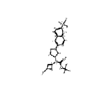 CC(C)(C)OC(=O)N(C1CC(F)C1)[C@H]1CCN(c2ccc3n[c]([Sn]([CH3])([CH3])[CH3])ccc3n2)C1